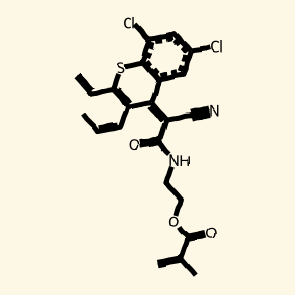 C=CC1=C(/C=C\C)/C(=C(/C#N)C(=O)NCCOC(=O)C(=C)C)c2cc(Cl)cc(Cl)c2S1